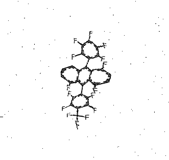 Fc1c(F)c(F)c(-c2c3cccc(F)c3c(-c3c(F)c(F)c(C(F)(F)F)c(F)c3F)c3c(F)ccc(F)c23)c(F)c1F